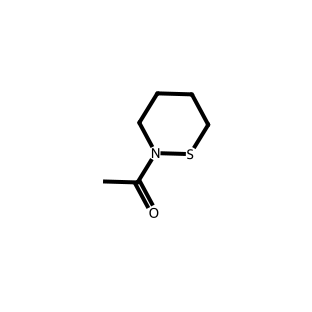 CC(=O)N1CCCCS1